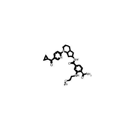 CC(C)OCCNc1cc(C(=O)NC2CC3CCCN(c4ccc(C(=O)C5CC5)cn4)C3C2)ccc1C(N)=O